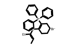 CC=C(CC)OC1=C([P+](c2ccccc2)(c2ccccc2)c2ccccc2)CCCC1.[Br-]